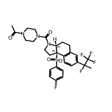 CC(=O)N1CCN(C(=O)N2CC[C@@]3(S(=O)(=O)c4ccc(F)cc4)c4ccc(C(C)(F)C(F)(F)F)cc4CC[C@@H]23)CC1